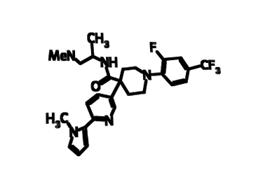 CNCC(C)NC(=O)C1(c2ccc(-c3cccn3C)nc2)CCN(c2ccc(C(F)(F)F)cc2F)CC1